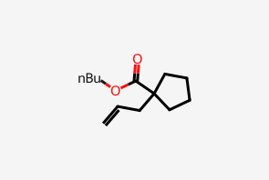 C=CCC1(C(=O)OCCCC)CCCC1